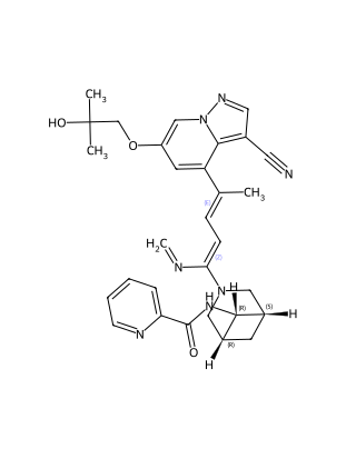 C=N/C(=C\C=C(/C)c1cc(OCC(C)(C)O)cn2ncc(C#N)c12)N1C[C@H]2C[C@@H](C1)[C@H]2NC(=O)c1ccccn1